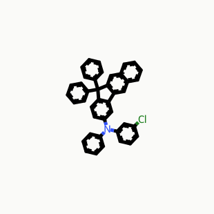 Clc1cccc(N(c2ccccc2)c2ccc3c(c2)-c2cc4ccccc4cc2C3(c2ccccc2)c2ccccc2)c1